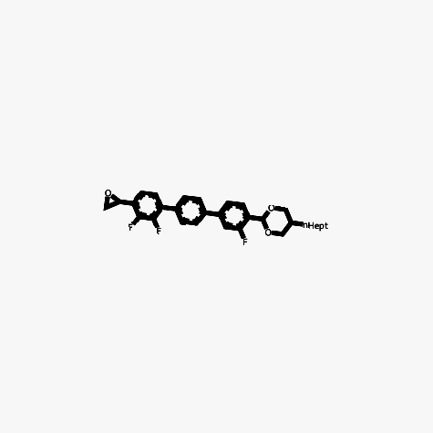 CCCCCCCC1COC(c2ccc(-c3ccc(-c4ccc(C5CO5)c(F)c4F)cc3)cc2F)OC1